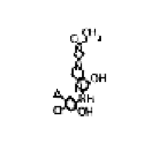 C=CC(=O)N1CC(N2CCc3nc(Nc4cc(C5CC5)c(Cl)cc4O)cc(O)c3C2)C1